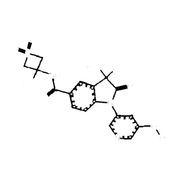 CCOc1cncc(N2C(=O)C(C)(C)c3cc(C(=O)NC4(C)CS(=O)(=O)C4)ccc32)c1